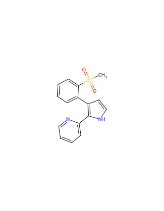 CS(=O)(=O)c1ccccc1-c1cc[nH]c1-c1ccccn1